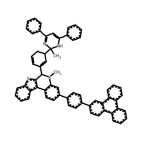 CN1c2cc(-c3ccc(-c4ccc5c6ccccc6c6ccccc6c5c4)cc3)ccc2-c2c(sc3ccccc23)C1C1=CC(C2(C)N=C(c3ccccc3)C=C(c3ccccc3)N2)CC=C1